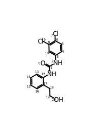 O=C(Nc1ccc(Cl)c(Cl)c1)Nc1ccccc1CCO